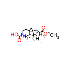 CCOC(=O)CCC1(C(C)(C)C)CC12CCN(C(=O)O)CC2